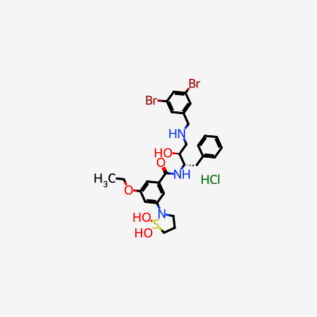 CCOc1cc(C(=O)N[C@@H](Cc2ccccc2)[C@@H](O)CNCc2cc(Br)cc(Br)c2)cc(N2CCCS2(O)O)c1.Cl